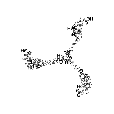 C[C@H](CCC(=O)O)[C@H]1CC[C@H]2[C@@H]3[C@H](O)C[C@@H]4C[C@@H](OCCCCCCNC(=O)C5(C)CC(C)(C(=O)NCCCCCCO[C@H]6CC[C@@]7(C)[C@H](CC[C@@H]8[C@@H]7C[C@H](O)[C@]7(C)[C@@H]([C@H](C)CCC(=O)O)CC[C@@H]87)C6)CC(C)(C(=O)NCCCCCCO[C@H]6CC[C@@]7(C)[C@@H](C6)C[C@@H](O)[C@@H]6[C@@H]7CC[C@]7(C)[C@@H]([C@H](C)CCC(=O)O)CC[C@@H]67)C5)CC[C@]4(C)[C@H]3CC[C@]12C